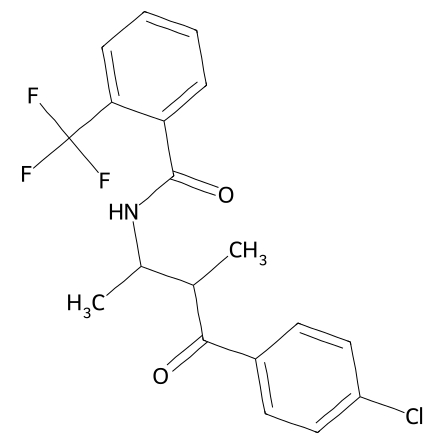 CC(NC(=O)c1ccccc1C(F)(F)F)C(C)C(=O)c1ccc(Cl)cc1